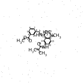 COC(=O)c1cccc(CNC(=O)c2cc(NC(=O)C(C)C)ccc2N(C)C)c1